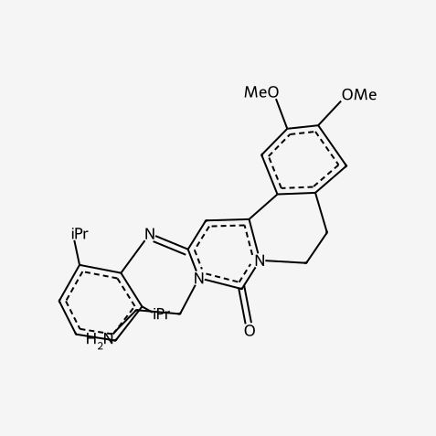 COc1cc2c(cc1OC)-c1c/c(=N/c3c(C(C)C)cccc3C(C)C)n(CCN)c(=O)n1CC2